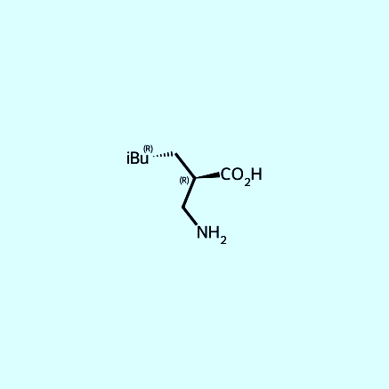 CC[C@@H](C)C[C@H](CN)C(=O)O